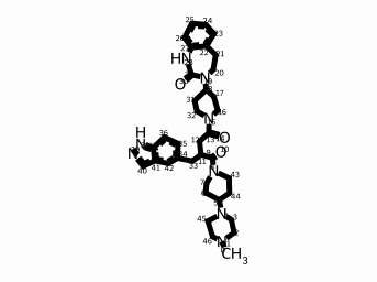 CN1CCN(C2CCN(C(=O)C(CC(=O)N3CCC(N4CCc5ccccc5NC4=O)CC3)Cc3ccc4[nH]ncc4c3)CC2)CC1